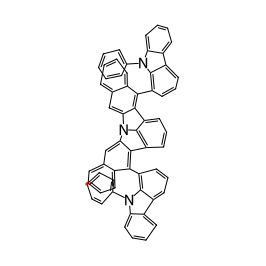 c1ccc(-n2c3ccccc3c3cccc(-c4c5ccccc5cc5c4c4cccc6c7c(-c8cccc9c%10ccccc%10n(-c%10ccccc%10)c89)c8ccccc8cc7n5c46)c32)cc1